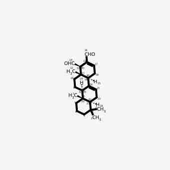 CC1(C)CCC[C@]2(C)[C@H]3CC[C@]4(C)[C@@H](C=O)C(C=O)=CC[C@H]4C3=CC[C@@H]12